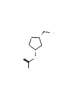 C[C@H]1C[C@H](NC(=O)C(F)(F)F)C[C@@H]1CO